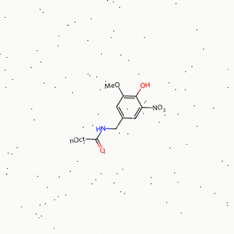 CCCCCCCCC(=O)NCc1cc(OC)c(O)c([N+](=O)[O-])c1